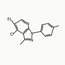 CCc1cnc2c(c(C)nn2-c2ccc(C)cc2)c1Cl